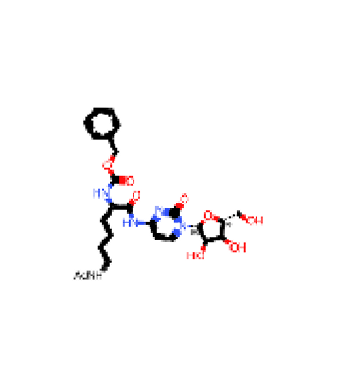 CC(=O)NCCCCC(NC(=O)OCc1ccccc1)C(=O)Nc1ccn([C@@H]2O[C@H](CO)C(O)C2O)c(=O)n1